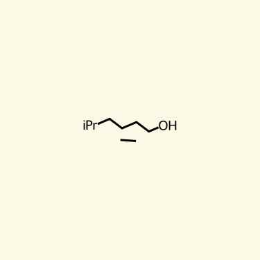 CC.CC(C)CCCCO